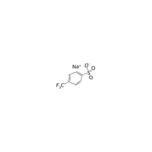 O=S(=O)([O-])c1ccc(C(F)(F)F)cc1.[Na+]